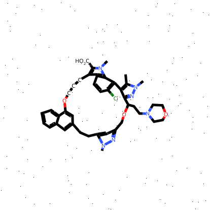 Cc1c2c(nn1C)C(CCN1CCOCC1)OCc1cc(n(C)n1)CCc1cc(c3ccccc3c1)OCCCc1c(C(=O)O)n(C)c3c-2c(Cl)ccc13